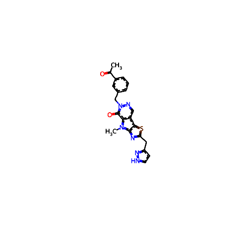 CC(=O)c1cccc(Cn2ncc3c4sc(Cc5cc[nH]n5)nc4n(C)c3c2=O)c1